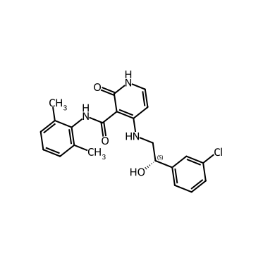 Cc1cccc(C)c1NC(=O)c1c(NC[C@@H](O)c2cccc(Cl)c2)cc[nH]c1=O